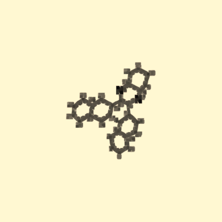 c1ccc2cc(-c3nc4ccccc4nc3-c3ccc4ccccc4c3)ccc2c1